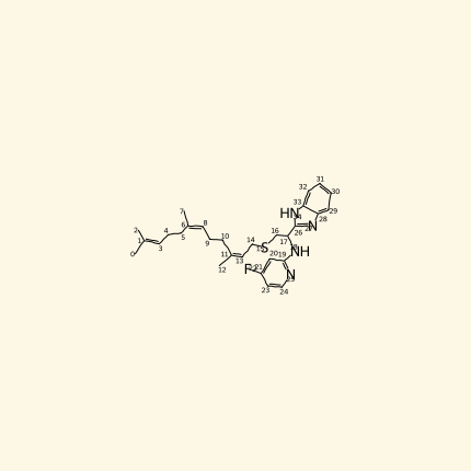 CC(C)=CCCC(C)=CCCC(C)=CCSCC(Nc1cc(F)ccn1)c1nc2ccccc2[nH]1